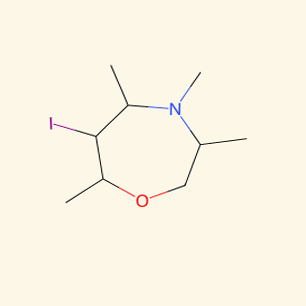 CC1OCC(C)N(C)C(C)C1I